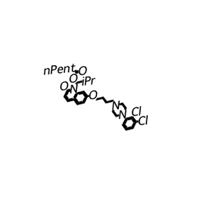 CCCCCC(=O)OC(C(C)C)n1c(=O)ccc2ccc(OCCCCN3CCN(c4cccc(Cl)c4Cl)CC3)cc21